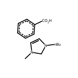 CCCCN1C=CN(C)C1.O=C(O)c1ccccc1